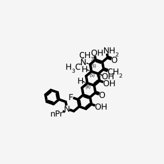 C=C1C(C(N)=O)=C(O)[C@@H](N(C)C)[C@@H]2C[C@@H]3Cc4c(F)c(CN(CCC)Cc5ccccc5)cc(O)c4C(=O)C3=C(O)[C@]12O